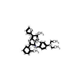 CCN(CC)c1ccc(/N=C2/C(c3ccccc3C)=Nc3c(-c4ccco4)c(C)nn32)c(C)c1